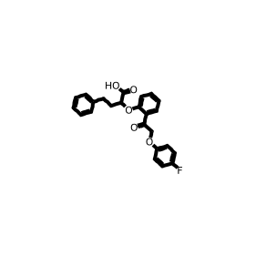 O=C(COc1ccc(F)cc1)c1ccccc1OC(CCc1ccccc1)C(=O)O